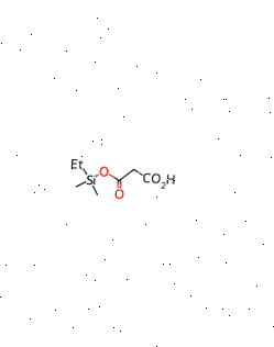 CC[Si](C)(C)OC(=O)CC(=O)O